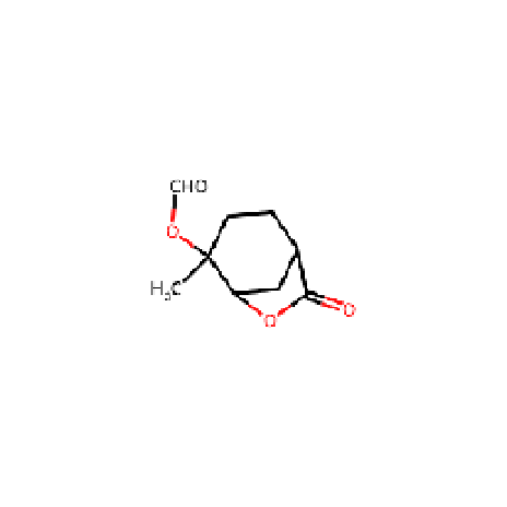 CC1(OC=O)CCC2CC1OC2=O